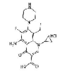 CCc1c(N2CCNCC2)c(F)c(N)c2c(=O)c(C(=O)O)cn(C3CC3)c12.Cl